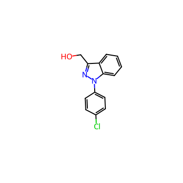 OCc1nn(-c2ccc(Cl)cc2)c2ccccc12